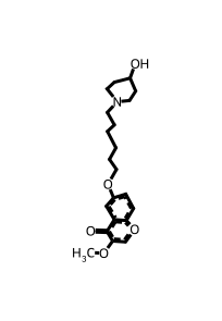 COc1coc2ccc(OCCCCCCN3CCC(O)CC3)cc2c1=O